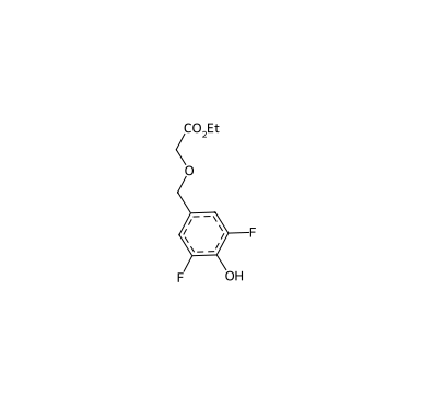 CCOC(=O)COCc1cc(F)c(O)c(F)c1